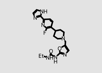 CCNC(=O)Nc1ncc(CN2CCC(c3ccc(-c4ncc[nH]4)nc3F)CC2)o1